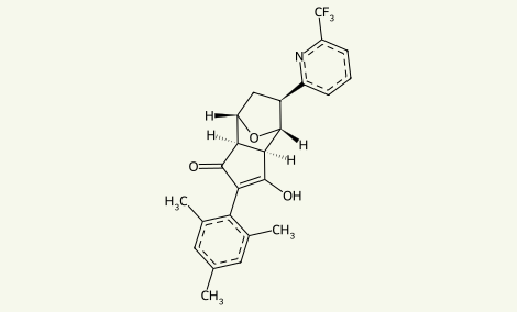 Cc1cc(C)c(C2=C(O)[C@@H]3[C@@H]4O[C@@H](C[C@H]4c4cccc(C(F)(F)F)n4)[C@@H]3C2=O)c(C)c1